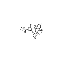 Cc1ccn2c(C[C@@]3(C(=O)OC(C)(C)C)CNCCO3)c(-c3c(F)cc(C(=O)OC(C)(C)C)cc3F)nc2c1